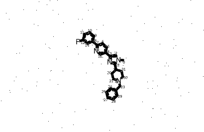 Cn1cc(-c2ccc(-c3cccc(F)c3)nc2)nc1C1CCN(Cc2ccccc2)CC1